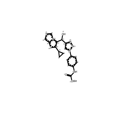 COC(=O)Nc1ccc(-n2cc(C(O)c3c(C4CC4)sc4cncn34)nn2)cc1